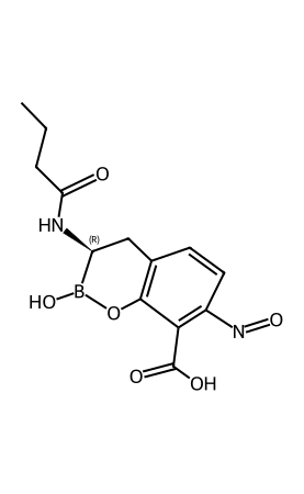 CCCC(=O)N[C@H]1Cc2ccc(N=O)c(C(=O)O)c2OB1O